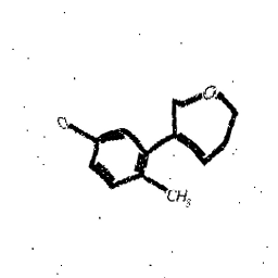 Cc1ccc(Cl)cc1C1=CCCOC1